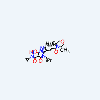 CNc1nn2c(O)c(C(=O)NC3CC3)c(=O)n(CC(C)C)c2c1/C=C/C(=O)N1[C@@H](C)COC[C@@H]1C